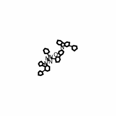 c1ccc(-c2ccc3c4ccccc4n(-c4ccc5c(c4)oc4c(-c6nc(-c7ccccc7)nc(-n7c8ccccc8c8c(-c9ccccc9)cccc87)n6)cccc45)c3c2)cc1